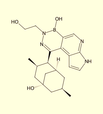 C[C@@H]1C[C@H]2C[C@@](O)(C1)C[C@@H](C)[C@H]2C1=NN(CCO)B(O)c2cnc3[nH]ccc3c21